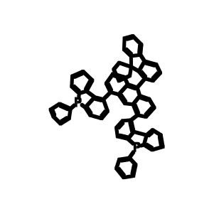 c1ccc(-p2c3ccccc3c3c(-c4cccc5c(-c6cccc7c6C6(CCCC6)c6ccccc6-7)c6cccc(-c7cccc8c7c7ccccc7p8-c7ccccc7)c6cc45)cccc32)cc1